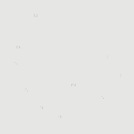 N#Cc1cnc2nc(Nc3ccc(NCCN)nc3)sc2c1Nc1ccc(F)c(Cl)c1